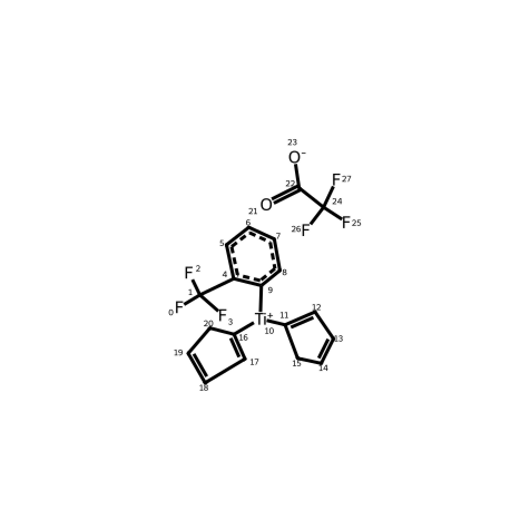 FC(F)(F)c1cccc[c]1[Ti+]([C]1=CC=CC1)[C]1=CC=CC1.O=C([O-])C(F)(F)F